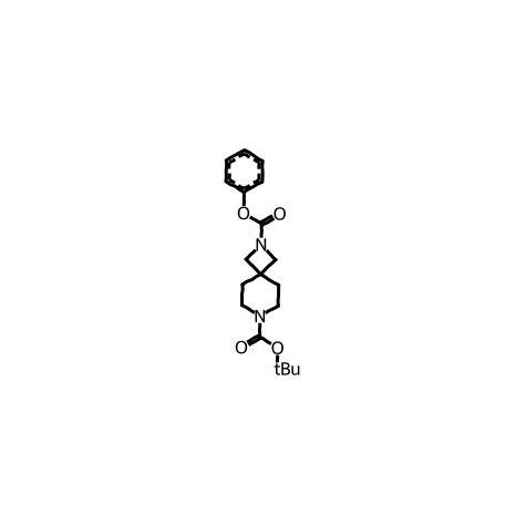 CC(C)(C)OC(=O)N1CCC2(CC1)CN(C(=O)Oc1ccccc1)C2